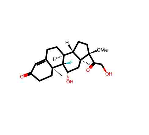 CO[C@]1(C(=O)CO)CC[C@H]2[C@@H]3CCC4=CC(=O)CC[C@]4(C)[C@@]3(F)[C@@H](O)C[C@@]21C